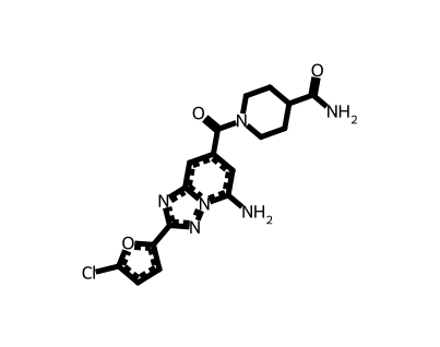 NC(=O)C1CCN(C(=O)c2cc(N)n3nc(-c4ccc(Cl)o4)nc3c2)CC1